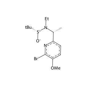 CCN([C@H](C)c1ccc(OC)c(Br)n1)[S@+]([O-])C(C)(C)C